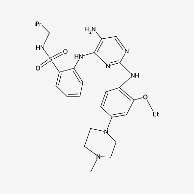 CCOc1cc(N2CCN(C)CC2)ccc1Nc1ncc(N)c(Nc2ccccc2S(=O)(=O)NCC(C)C)n1